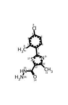 Cc1cc(Cl)ccc1-c1nc(C)c(C(=O)NN)s1